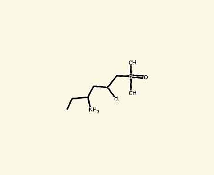 CCC(N)CC(Cl)CP(=O)(O)O